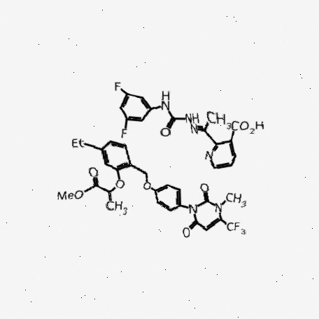 C/C(=N\NC(=O)Nc1cc(F)cc(F)c1)c1ncccc1C(=O)O.CCc1ccc(COc2ccc(-n3c(=O)cc(C(F)(F)F)n(C)c3=O)cc2)c(OC(C)C(=O)OC)c1